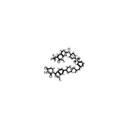 CC(Cc1cccc(S(=O)(=O)N2CCC(Nc3ncc4cc(C(F)(F)F)c(=O)n(C)c4n3)CC2)c1)CN1CCC(c2ccc3c(N4CCC(=O)NC4=O)nn(C)c3c2)CC1